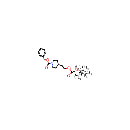 CC(O[Si](C)(C)C(C)(C)C)C(=O)OCCC1CCN(C(=O)OCc2ccccc2)CC1